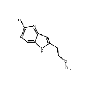 COCCc1cc2nc(Cl)ncc2[nH]1